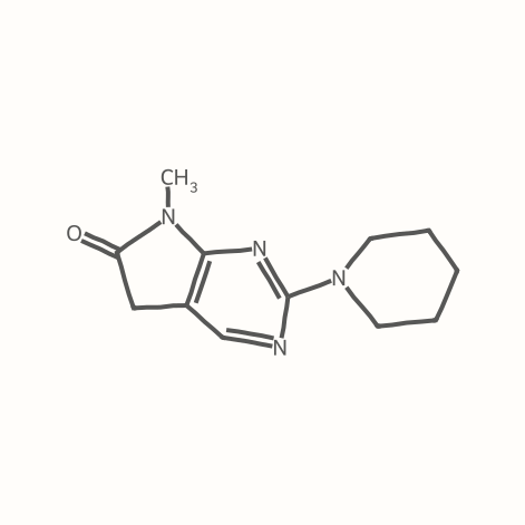 CN1C(=O)Cc2cnc(N3CCCCC3)nc21